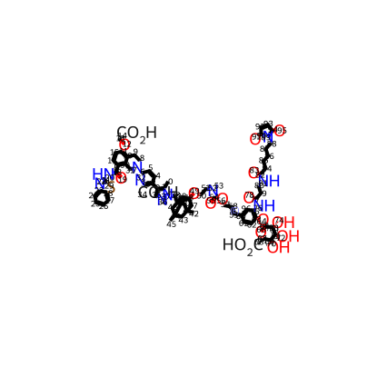 Cc1c(-c2ccc(N3CCc4c(OCC(=O)O)ccc(C(=O)Nc5nc6ccccc6s5)c4C3)nc2C(=O)O)cnn1CC12CC3(C)CC(C)(C1)CC(OCCN(C)C(=O)OC/C=C/c1ccc(O[C@@H]4O[C@H](C(=O)O)[C@@H](O)[C@H](O)[C@H]4O)c(NC(=O)CCNC(=O)CCCCCN4C(=O)C=CC4=O)c1)(C3)C2